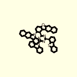 c1ccc2cc3c(cc2c1)oc1ccc(-n2c4ccccc4c4cc5ccccc5cc42)c(-c2nc(-c4cccc5c4sc4ccccc45)nc(-n4c5ccccc5c5ccccc54)n2)c13